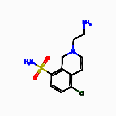 NCCN1C=Cc2c(Cl)ccc(S(N)(=O)=O)c2C1